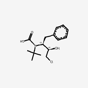 CC(C)(C)N(C(=O)O)[C@@H](Cc1ccccc1)[C@@H](O)CCl